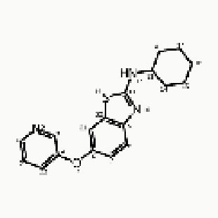 c1cncc(Oc2ccc3nc(NC4CCCCC4)sc3c2)c1